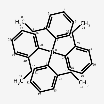 CCc1cccc[c]1[Ti]([c]1ccccc1CC)([c]1ccccc1CC)[c]1ccccc1CC